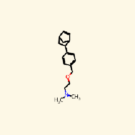 CN(C)CCOCc1ccc(C2CC3C=CC2C3)cc1